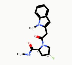 CNC(=O)[C@@H]1C[C@@H](F)CN1C(=O)Cc1cc2ccccc2n1C